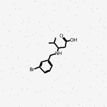 CC(C)C(CC(=O)O)NCc1cccc(Br)c1